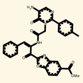 COC(=O)c1ccc2oc(C(=O)C(=Cc3ccccc3)NC(=O)Cn3c(-c4ccc(C)cc4)ncc(N)c3=O)nc2c1